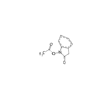 O=C1Cc2ccccc2N1OC(=O)C(F)(F)F